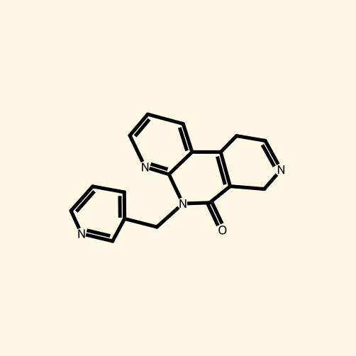 O=c1c2c(c3cccnc3n1Cc1cccnc1)CC=NC2